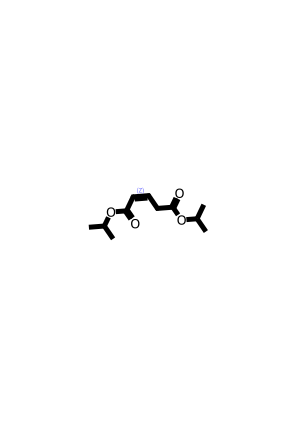 CC(C)OC(=O)/C=C\CC(=O)OC(C)C